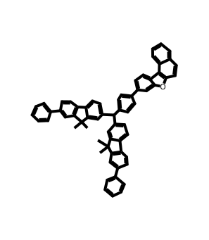 CC1(C)c2cc(-c3ccccc3)ccc2-c2ccc(C(c3ccc(-c4ccc5c(c4)oc4ccc6ccccc6c45)cc3)c3ccc4c(c3)C(C)(C)c3cc(-c5ccccc5)ccc3-4)cc21